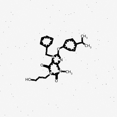 CC(C)c1ccc(Oc2nc3c(c(=O)n(CCCO)c(=O)n3C)n2Cc2ccccc2)cc1